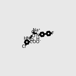 O=C(COC(=O)CNc1ccc(-c2ccc(F)cc2)cc1)Nc1ccc(Cl)cc1C(=O)[O-].[Na+]